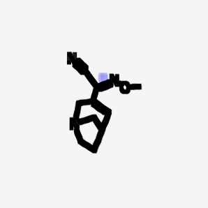 CO/N=C(/C#N)C1=CC2CCN(C1)C2